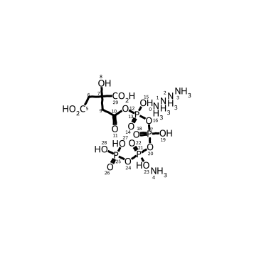 N.N.N.N.N.O=C(O)CC(O)(CC(=O)OP(=O)(O)OP(=O)(O)OP(=O)(O)OP(=O)(O)O)C(=O)O